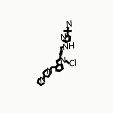 CC(C)(C#N)c1ccc(NCC#Cc2cc3c(CN4CCC(N5CCCC5)CC4)cccc3n2CCCl)cn1